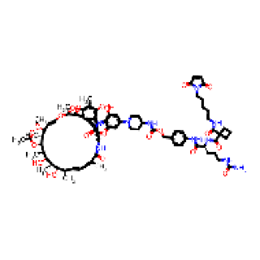 CO[C@H]1/C=C/O[C@@]2(C)Oc3c(C)c(O)c4c(=O)c(c5oc6cc(N7CCC(NC(=O)OCc8ccc(NC(=O)[C@H](CCCNC(N)=O)NC(=O)C9(C(=O)NCCCCCN%10C(=O)C=CC%10=O)CCC9)cc8)CC7)cc(O)c6nc-5c4c3C2=O)NC(=O)/C(C)=C\C=C\[C@H](C)[C@H](O)[C@@H](C)[C@@H](O)[C@@H](C)[C@H](OC(C)=O)[C@@H]1C